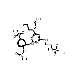 CS(=O)(=O)NCCNc1nc(Nc2cc(S(=O)(=O)O)ccc2OS(=O)O)nc(N(CCO)CCO)n1